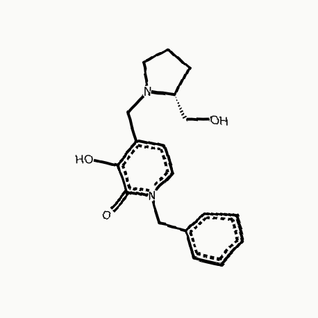 O=c1c(O)c(CN2CCC[C@@H]2CO)ccn1Cc1ccccc1